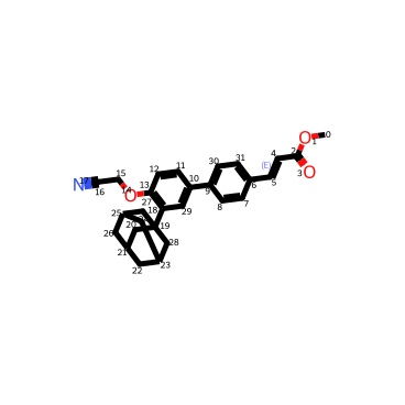 COC(=O)/C=C/c1ccc(-c2ccc(OCC#N)c(C34CC5CC(CC(C5)C3)C4)c2)cc1